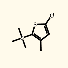 Cc1cc(Cl)sc1S(C)(C)C